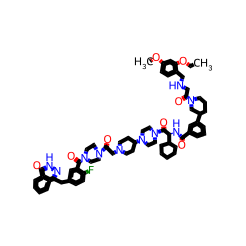 CCOc1cc(OC)ccc1CNCC(=O)N1CCCC(c2cccc(C(=O)N[C@@H](C(=O)N3CCN(C4CCN(CC(=O)N5CCN(C(=O)c6cc(Cc7n[nH]c(=O)c8ccccc78)ccc6F)CC5)CC4)CC3)C3CCCCC3)c2)C1